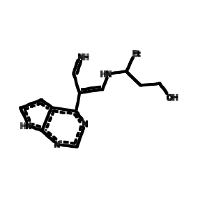 CCC(CCO)N/C=C(\C=N)c1ncnc2[nH]ccc12